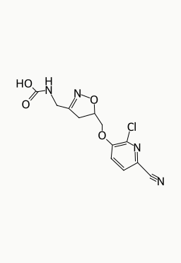 N#Cc1ccc(OCC2CC(CNC(=O)O)=NO2)c(Cl)n1